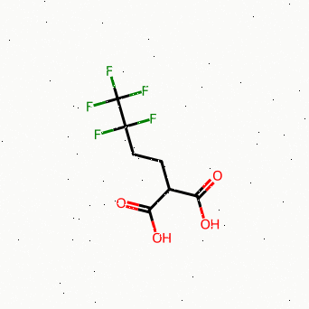 O=C(O)C(CCC(F)(F)C(F)(F)F)C(=O)O